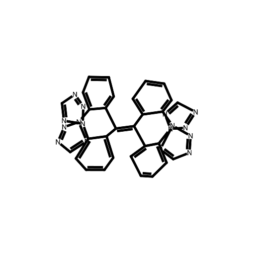 c1ccc(-n2ncnn2)c(C(=C(c2ccccc2-n2ncnn2)c2ccccc2-n2ncnn2)c2ccccc2-n2ncnn2)c1